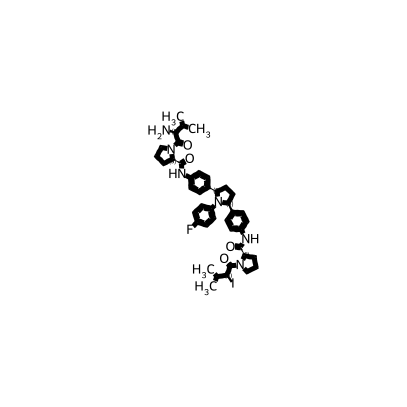 CC(C)[C@H](N)C(=O)N1CCC[C@H]1C(=O)Nc1ccc([C@@H]2CC[C@@H](c3ccc(NC(=O)[C@@H]4CCCN4C(=O)[C@@H](I)C(C)C)cc3)N2c2ccc(F)cc2)cc1